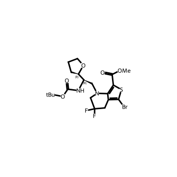 COC(=O)c1sc(Br)c2c1N(C[C@@H](NC(=O)OC(C)(C)C)[C@H]1CCCO1)CC(F)(F)C2